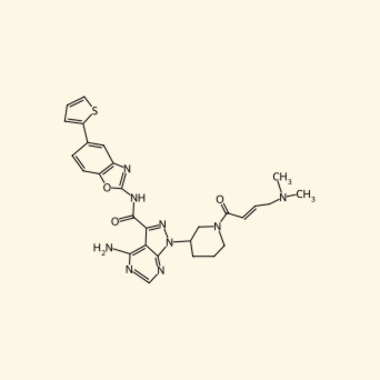 CN(C)CC=CC(=O)N1CCCC(n2nc(C(=O)Nc3nc4cc(-c5cccs5)ccc4o3)c3c(N)ncnc32)C1